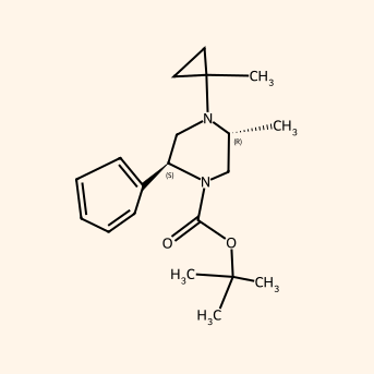 C[C@@H]1CN(C(=O)OC(C)(C)C)[C@@H](c2ccccc2)CN1C1(C)CC1